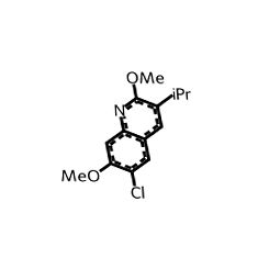 COc1cc2nc(OC)c(C(C)C)cc2cc1Cl